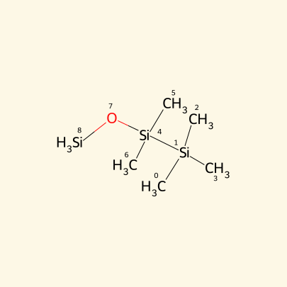 C[Si](C)(C)[Si](C)(C)O[SiH3]